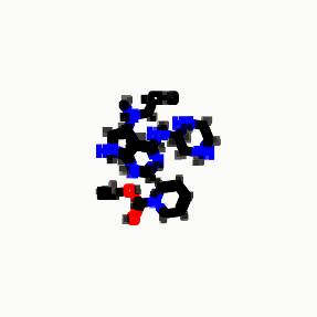 CC(C)(C)OC(=O)N1C=CC=CC1.CN(CC=O)c1c[nH]c2ncnc(N[C@@H]3CNCCN3)c12